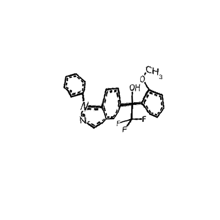 COc1ccccc1C(O)(c1ccc2c(cnn2-c2ccccc2)c1)C(F)(F)F